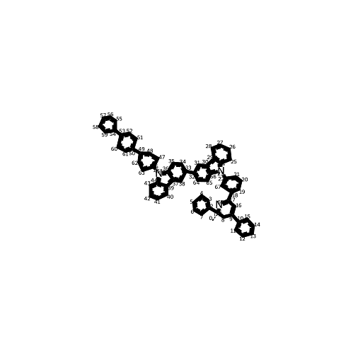 C[C@@]1(c2ccccc2)CC(c2ccccc2)=CC(c2cccc(-n3c4ccccc4c4cc(-c5ccc6c(c5)c5ccccc5n6-c5ccc(-c6ccc(-c7ccccc7)cc6)cc5)ccc43)c2)=N1